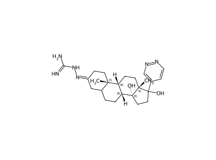 C[C@]12CCC(=NNC(=N)N)CC1CC[C@@H]1[C@H]2CC[C@]2(C)C(O)(c3ccnnc3)CC[C@@]12O